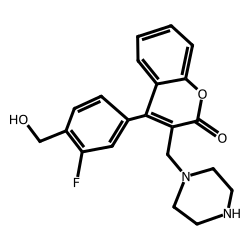 O=c1oc2ccccc2c(-c2ccc(CO)c(F)c2)c1CN1CCNCC1